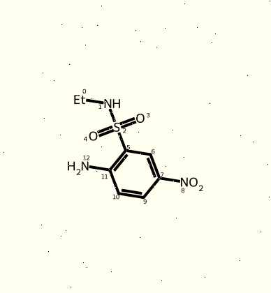 CCNS(=O)(=O)c1cc([N+](=O)[O-])ccc1N